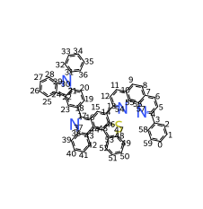 c1ccc(-c2ccc3ccc4ccc(-c5cc6c(-c7ccc8c(c7)c7ccccc7n8-c7ccccc7)nc7ccccc7c6c6c5sc5ccccc56)nc4c3n2)cc1